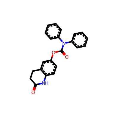 O=C1CCc2cc(OC(=O)N(c3ccccc3)c3ccccc3)ccc2N1